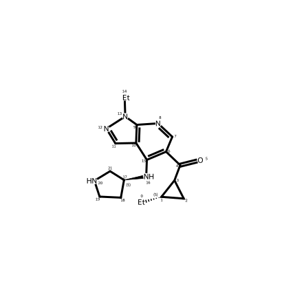 CC[C@H]1CC1C(=O)c1cnc2c(cnn2CC)c1N[C@H]1CCNC1